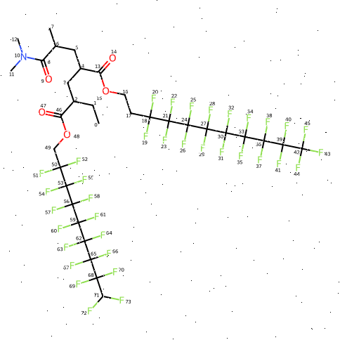 CCC(CC(CC(C)C(=O)N(C)C)C(=O)OCCC(F)(F)C(F)(F)C(F)(F)C(F)(F)C(F)(F)C(F)(F)C(F)(F)C(F)(F)C(F)(F)F)C(=O)OCC(F)(F)C(F)(F)C(F)(F)C(F)(F)C(F)(F)C(F)(F)C(F)(F)C(F)F